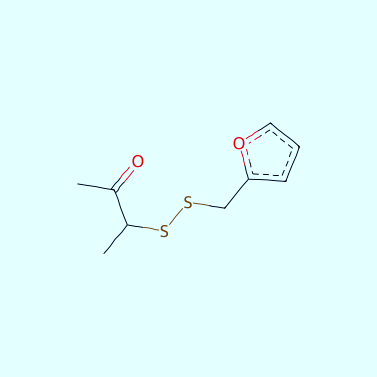 CC(=O)C(C)SSCc1ccco1